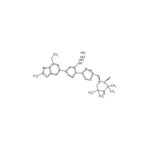 CCc1cc(-c2cnc(-c3ccc(O[C@@H]4CC(C)(C)NC(C)(C)[C@@H]4F)nn3)c(O)c2)cn2cc(C)nc12.Cl.Cl.Cl